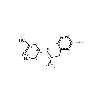 C[C@H](Cc1cccc(F)c1)C[C@H](CN)CC(=O)O